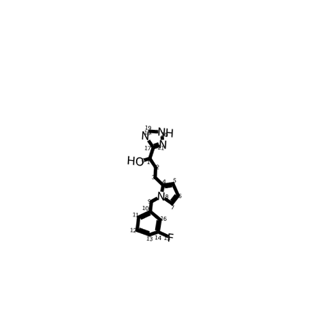 OC(CCc1cccn1Cc1cccc(F)c1)c1nc[nH]n1